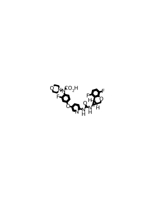 O=C(Nc1ccc(Oc2ccc(N(C(=O)O)N3CCOCC3)c(F)c2)cn1)N[C@@H]1[C@@H]2COc3c(F)ccc(F)c3[C@@H]21